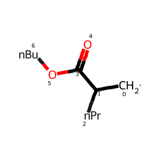 [CH2]C(CCC)C(=O)OCCCC